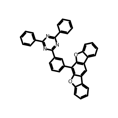 c1ccc(-c2nc(-c3ccccc3)nc(-c3cccc(-c4c5oc6ccccc6c5cc5c4oc4ccccc45)c3)n2)cc1